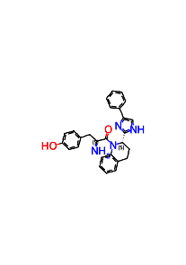 N[C@@H](Cc1ccc(O)cc1)C(=O)N1c2ccccc2CC[C@H]1c1nc(-c2ccccc2)c[nH]1